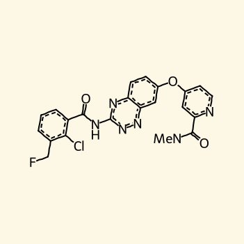 CNC(=O)c1cc(Oc2ccc3nc(NC(=O)c4cccc(CF)c4Cl)nnc3c2)ccn1